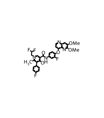 COc1cc2nccc(Oc3ccc(NC(=O)c4cn(CC(F)F)c(C)c(-c5ccc(F)cc5)c4=O)cc3F)c2nc1OC